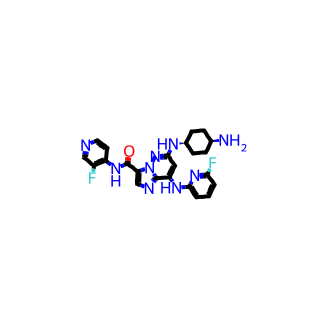 N[C@H]1CC[C@H](Nc2cc(Nc3cccc(F)n3)c3ncc(C(=O)Nc4ccncc4F)n3n2)CC1